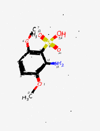 COc1ccc(OC)c(S(=O)(=O)O)c1N